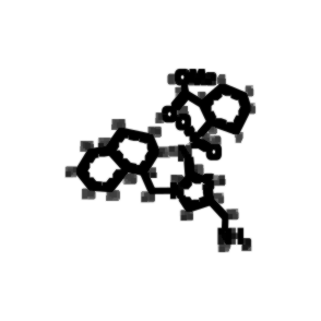 COC(=O)c1ccccc1S(=O)(=O)/N=c1\sc(CN)cn1Cc1cccc2ccccc12